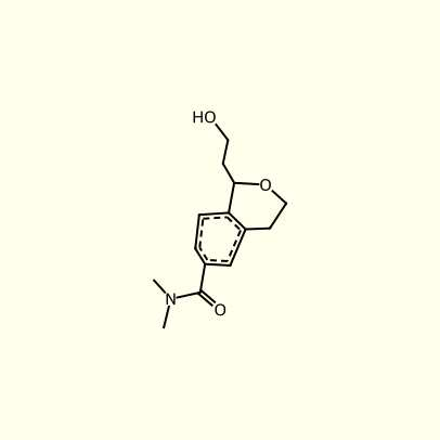 CN(C)C(=O)c1ccc2c(c1)CCOC2CCO